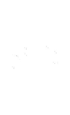 CC[C@H](CC#N)n1cc(-c2ncnc3[nH]ccc23)cn1